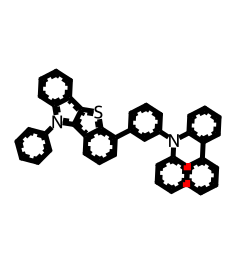 c1ccc(-c2ccccc2N(c2ccccc2)c2cccc(-c3cccc4c3sc3c5ccccc5n(-c5ccccc5)c43)c2)cc1